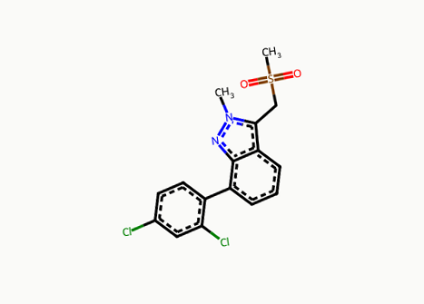 Cn1nc2c(-c3ccc(Cl)cc3Cl)cccc2c1CS(C)(=O)=O